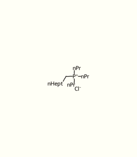 CCCCCCCC[P+](CCC)(CCC)CCC.[Cl-]